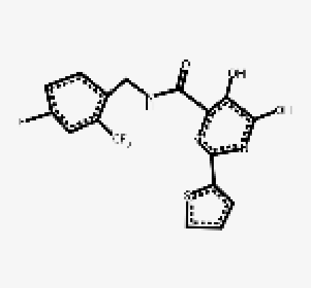 O=C(NCc1ccc(F)cc1C(F)(F)F)c1nc(-c2cccs2)nc(O)c1O